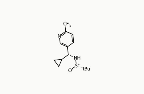 CC(C)(C)[S@+]([O-])N[C@@H](c1ccc(C(F)(F)F)nc1)C1CC1